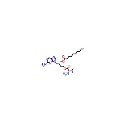 CCCCCCCCCC(=O)OC[C@H](CCOC(=O)[C@@H](N)C(C)C)Cn1cnc2cnc(N)nc21